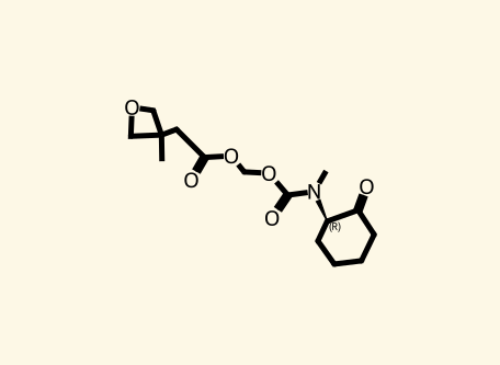 CN(C(=O)OCOC(=O)CC1(C)COC1)[C@@H]1CCCCC1=O